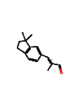 C/C(C=O)=C\c1ccc2c(c1)C(C)(C)CC2